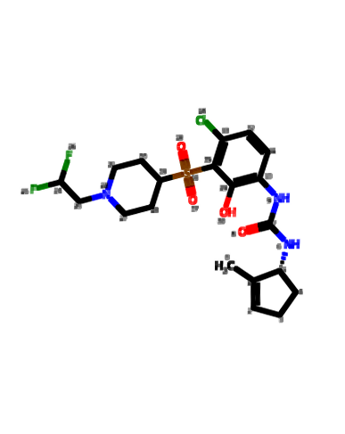 CC1=CCC[C@H]1NC(=O)Nc1ccc(Cl)c(S(=O)(=O)C2CCN(CC(F)F)CC2)c1O